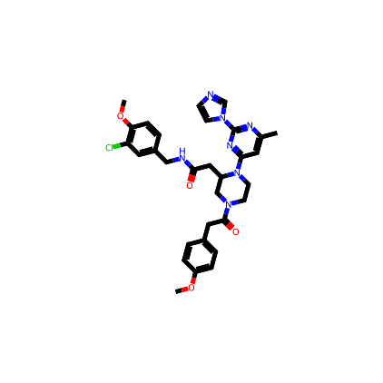 COc1ccc(CC(=O)N2CCN(c3cc(C)nc(-n4ccnc4)n3)C(CC(=O)NCc3ccc(OC)c(Cl)c3)C2)cc1